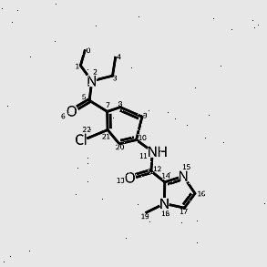 CCN(CC)C(=O)c1ccc(NC(=O)c2nccn2C)cc1Cl